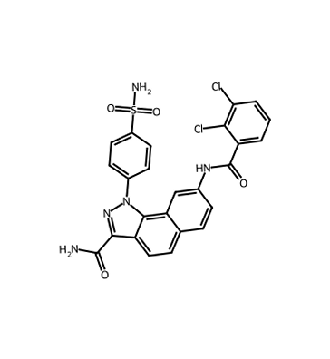 NC(=O)c1nn(-c2ccc(S(N)(=O)=O)cc2)c2c1ccc1ccc(NC(=O)c3cccc(Cl)c3Cl)cc12